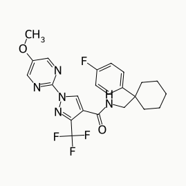 COc1cnc(-n2cc(C(=O)NCC3(c4ccc(F)cc4)CCCCC3)c(C(F)(F)F)n2)nc1